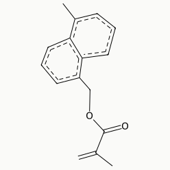 C=C(C)C(=O)OCc1cccc2c(C)cccc12